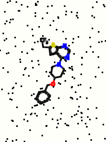 FC(F)(F)Cc1cc2c(N3CCC(OCc4ccccc4)CC3)ncnc2s1